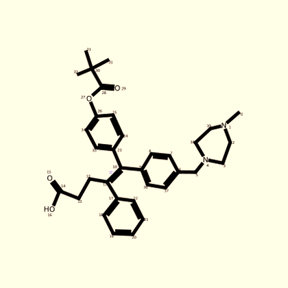 CN1CCN(Cc2ccc(/C(=C(/CCC(=O)O)c3ccccc3)c3ccc(OC(=O)C(C)(C)C)cc3)cc2)CC1